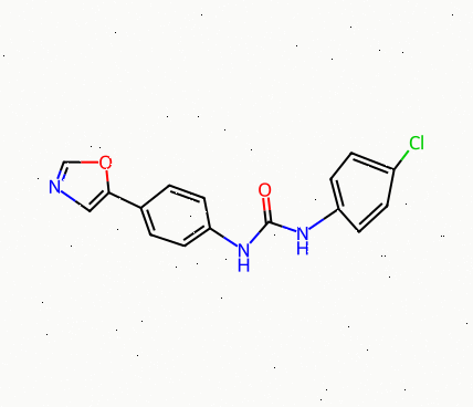 O=C(Nc1ccc(Cl)cc1)Nc1ccc(-c2cnco2)cc1